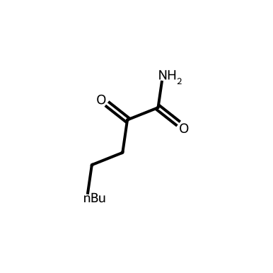 CCCCCCC(=O)C(N)=O